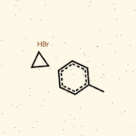 Br.C1CC1.Cc1ccccc1